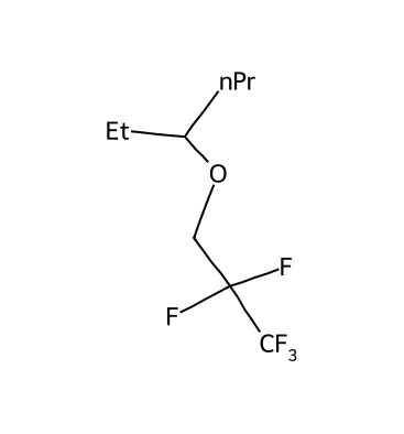 CCCC(CC)OCC(F)(F)C(F)(F)F